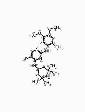 COc1cc(C)c(Nc2ncc(F)c(NC3CC(C)(C)NC(C)(C)C3)n2)cc1OC